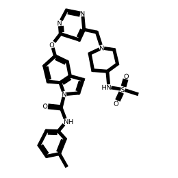 Cc1cccc(NC(=O)n2ccc3cc(Oc4cc(CN5CCC(NS(C)(=O)=O)CC5)ncn4)ccc32)c1